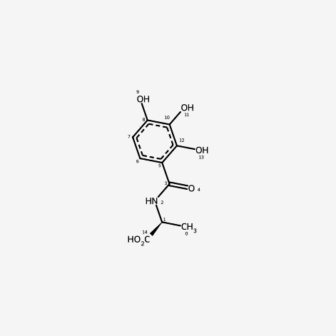 C[C@H](NC(=O)c1ccc(O)c(O)c1O)C(=O)O